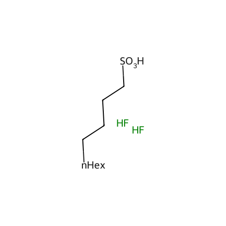 CCCCCCCCCCS(=O)(=O)O.F.F